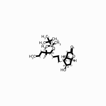 CCCC(F)(F)[C@@H](CCC[C@@H]1[C@H]2CC(=O)O[C@H]2C[C@H]1O)O[Si](C)(C)C(C)(C)C